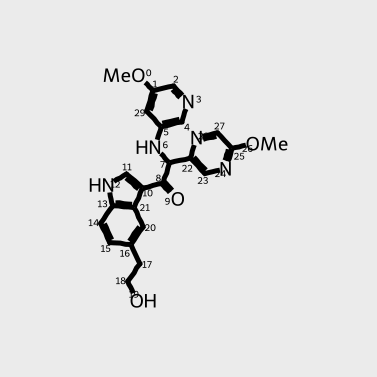 COc1cncc(NC(C(=O)c2c[nH]c3ccc(CCO)cc23)c2cnc(OC)cn2)c1